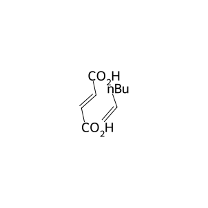 C=CCCCC.O=C(O)C=CC(=O)O